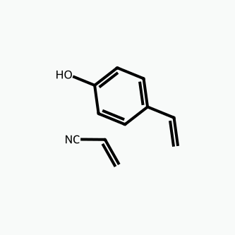 C=CC#N.C=Cc1ccc(O)cc1